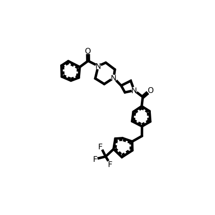 O=C(c1ccccc1)N1CCN(C2CN(C(=O)c3ccc(Cc4ccc(C(F)(F)F)cc4)cc3)C2)CC1